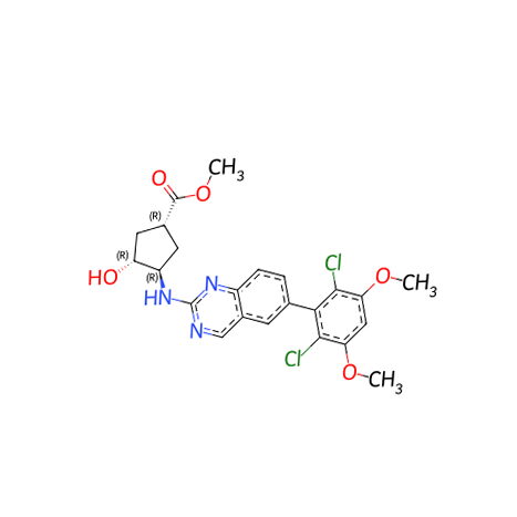 COC(=O)[C@H]1C[C@@H](O)[C@H](Nc2ncc3cc(-c4c(Cl)c(OC)cc(OC)c4Cl)ccc3n2)C1